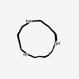 C1CNCCCNCCCNC1